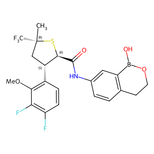 COc1c([C@@H]2C[C@](C)(C(F)(F)F)S[C@H]2C(=O)Nc2ccc3c(c2)B(O)OCC3)ccc(F)c1F